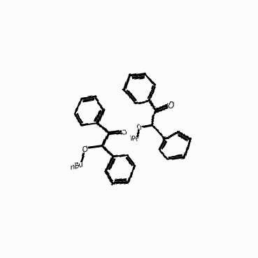 CC(C)OC(C(=O)c1ccccc1)c1ccccc1.CCCCOC(C(=O)c1ccccc1)c1ccccc1